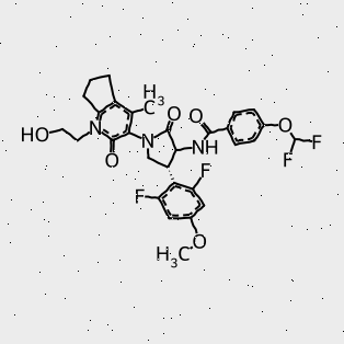 COc1cc(F)c([C@@H]2CN(c3c(C)c4c(n(CCO)c3=O)CCC4)C(=O)C2NC(=O)c2ccc(OC(F)F)cc2)c(F)c1